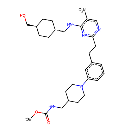 CC(C)(C)OC(=O)NCC1CCN(c2cccc(CCc3ncc([N+](=O)[O-])c(NC[C@H]4CC[C@H](CO)CC4)n3)c2)CC1